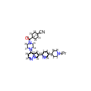 CC(C)N1CCC(c2ccc(-c3cc4c(N5CCN(C(=O)C6CCC(C#N)CC6)CC5)ccnn4c3)nc2)CC1